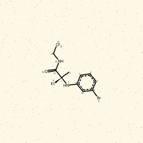 CC[C@@](C)(Nc1cccc(Br)c1)C(=O)NCC(F)(F)F